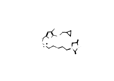 C[C@@H](NS(=O)(=O)CCCCCN1CC(=O)NC1=O)c1cc(F)c(OCC2CC2)o1